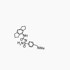 CNCc1ccc([S@@](N)(=O)=NC(=O)Nc2c3c(cc4c2CCC4)CCC3)cc1